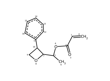 C=CC(=O)OC(C)C1OCC1c1ccccc1